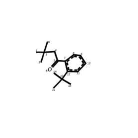 CC(C)(C)CC(=O)c1ccccc1C(C)(C)C